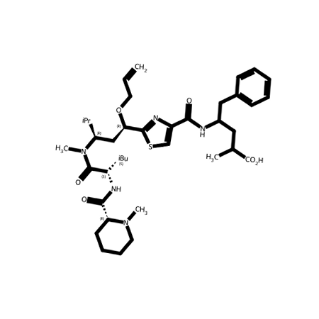 C=CCO[C@H](C[C@H](C(C)C)N(C)C(=O)[C@@H](NC(=O)[C@H]1CCCCN1C)[C@@H](C)CC)c1nc(C(=O)NC(Cc2ccccc2)CC(C)C(=O)O)cs1